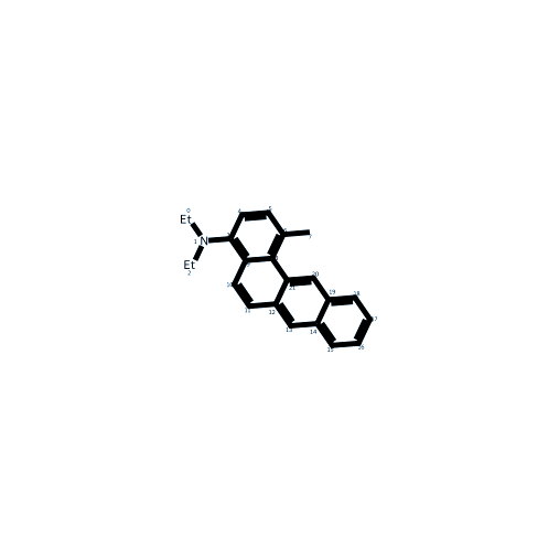 CCN(CC)c1ccc(C)c2c1ccc1cc3ccccc3cc12